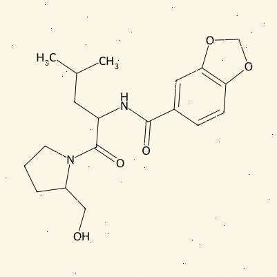 CC(C)CC(NC(=O)c1ccc2c(c1)OCO2)C(=O)N1CCCC1CO